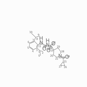 CC(C)c1cccc(C(C)C)c1NC(=O)NS(=O)(=O)C1CCN(C(=O)C2CC2)CC1